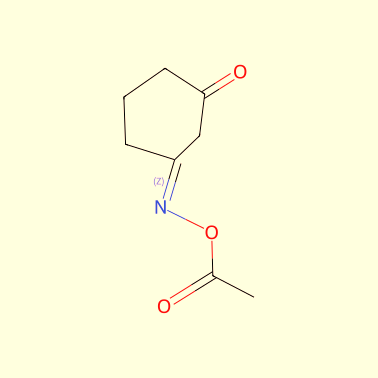 CC(=O)O/N=C1/CCCC(=O)C1